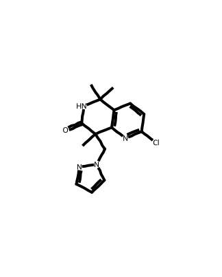 CC1(C)NC(=O)C(C)(Cn2cccn2)c2nc(Cl)ccc21